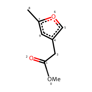 COC(=O)Cc1coc(C)c1